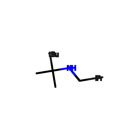 CC(C)CNC(C)(C)C(C)(C)C